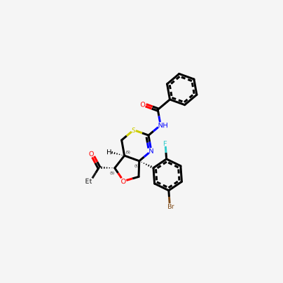 CCC(=O)[C@H]1OC[C@]2(c3cc(Br)ccc3F)N=C(NC(=O)c3ccccc3)SC[C@H]12